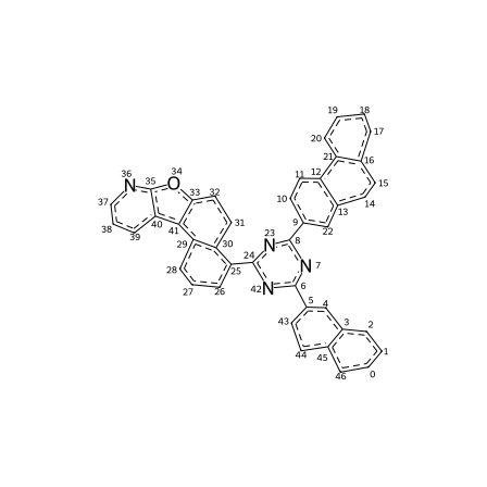 c1ccc2cc(-c3nc(-c4ccc5c(ccc6ccccc65)c4)nc(-c4cccc5c4ccc4oc6ncccc6c45)n3)ccc2c1